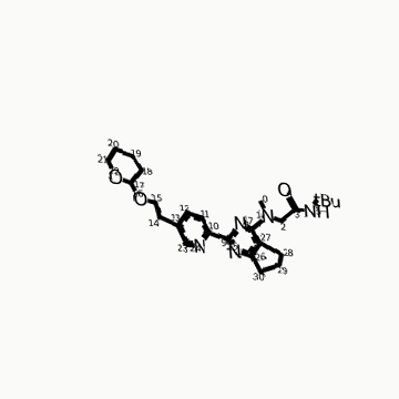 CN(CC(=O)NC(C)(C)C)c1nc(-c2ccc(CCOC3CCCCO3)cn2)nc2c1CCC2